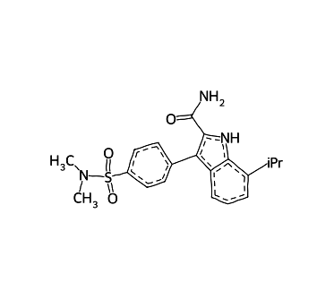 CC(C)c1cccc2c(-c3ccc(S(=O)(=O)N(C)C)cc3)c(C(N)=O)[nH]c12